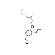 C/C=C/c1cc(CO)c(C)cc1OCCC(C)CCCC(C)C